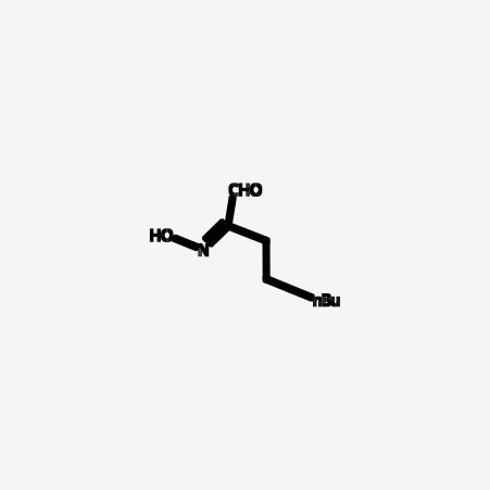 CCCCCCC(C=O)=NO